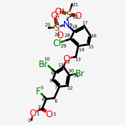 COC(=O)C(F)Cc1cc(Br)c(OCc2cccc(N(S(C)(=O)=O)S(C)(=O)=O)c2Cl)c(Br)c1